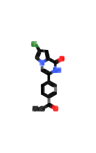 COC(=O)c1ccc(-c2cn3cc(Cl)cc3c(=O)[nH]2)cc1